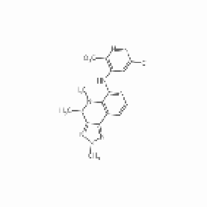 CC1c2nn(C)nc2-c2ccnc(Nc3cc(Cl)nnc3C(=O)O)c2N1C